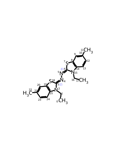 CCn1/c(=N/N=c2/sc3cc(C)ccc3n2CC)sc2cc(C)ccc21